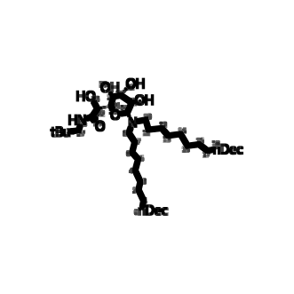 CCCCCCCCCCCCCCCCCCN(CCCCCCCCCCCCCCCCCC)[C@@H]1O[C@H](C(O)C(=O)NCC(C)(C)C)[C@@H](O)[C@H](O)[C@H]1O